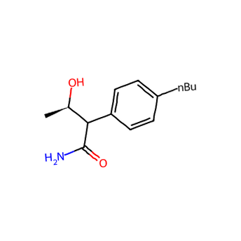 CCCCc1ccc(C(C(N)=O)[C@@H](C)O)cc1